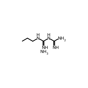 CCCNC(=N)NC(=N)N.N